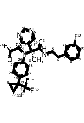 C[C@@](C(=O)NCCc1cccc(F)c1)(c1cncnc1)N(C(=O)[C@H](F)Cl)c1ccc(C2(C(F)(F)F)CC2)cc1